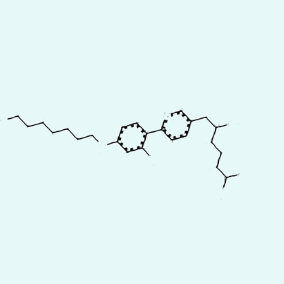 CCCCCCCCOc1ccc(-c2ccc(CC(C)CCCC(C)C)cn2)c(F)c1